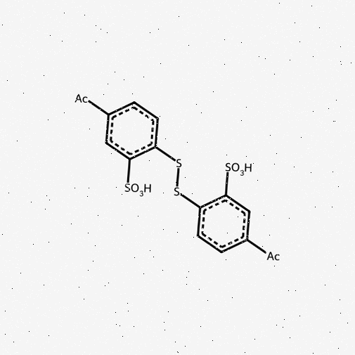 CC(=O)c1ccc(SSc2ccc(C(C)=O)cc2S(=O)(=O)O)c(S(=O)(=O)O)c1